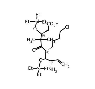 C=C[C@H](N)C(O[Si](CC)(CC)CC)[C@@H](CCCCCl)C(=O)C(C)(C)[C@H](CC(=O)O)O[Si](CC)(CC)CC